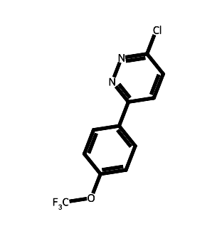 FC(F)(F)Oc1ccc(-c2ccc(Cl)nn2)cc1